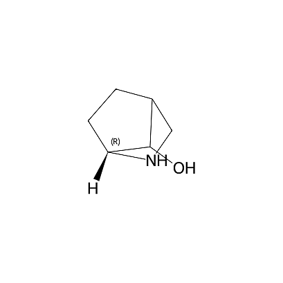 OC1C2CC[C@H]1NC2